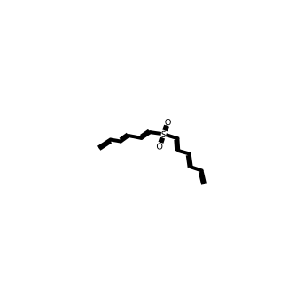 C=CC=CC=CS(=O)(=O)C=CC=CC=C